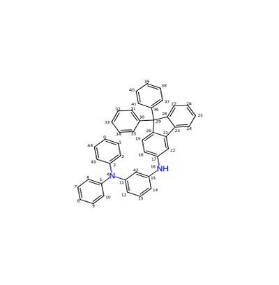 c1ccc(N(c2ccccc2)c2cccc(Nc3ccc4c(c3)-c3ccccc3C4(c3ccccc3)c3ccccc3)c2)cc1